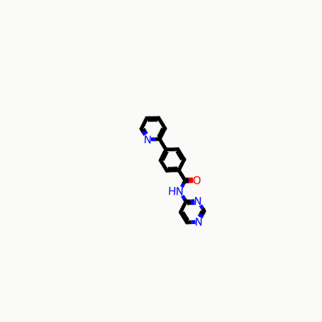 O=C(Nc1ccncn1)c1ccc(-c2ccccn2)cc1